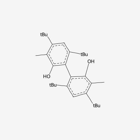 Cc1c(C(C)(C)C)cc(C(C)(C)C)c(-c2c(C(C)(C)C)cc(C(C)(C)C)c(C)c2O)c1O